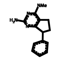 CNc1nc(N)nc2c1CCC2c1ccccc1